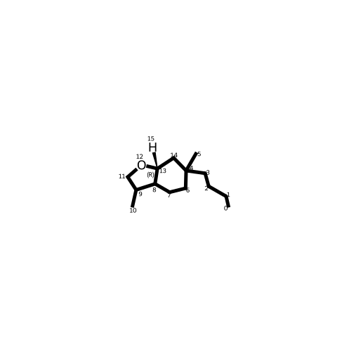 CCCCC1(C)CCC2C(C)CO[C@@H]2C1